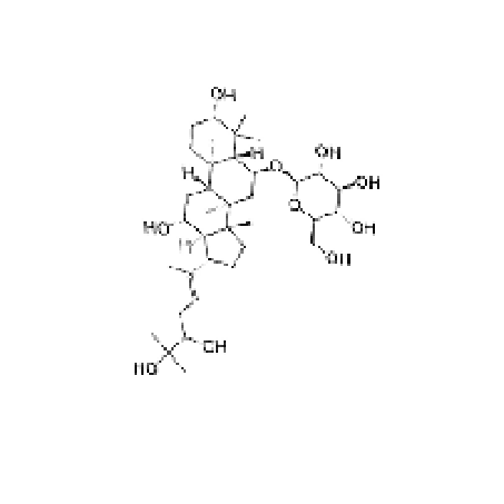 C/C(=C\CC(O)C(C)(C)O)[C@H]1CC[C@]2(C)[C@@H]1[C@H](O)C[C@@H]1[C@@]3(C)CC[C@H](O)C(C)(C)[C@@H]3[C@@H](O[C@@H]3O[C@H](CO)[C@@H](O)[C@H](O)[C@H]3O)C[C@]12C